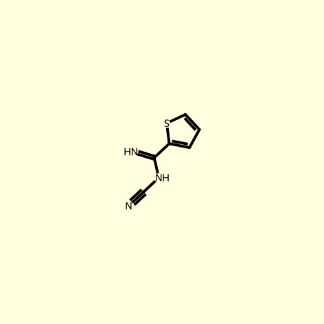 N#CNC(=N)c1cccs1